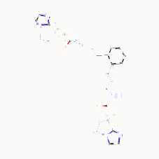 O=C(NCCCc1ccccc1CCCNC(=O)O[C@@H]1CCn2ccnc21)O[C@@H]1CCn2ccnc21